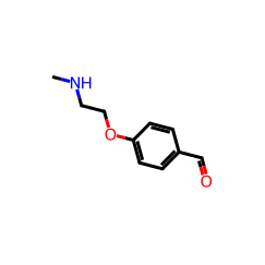 CNCCOc1ccc(C=O)cc1